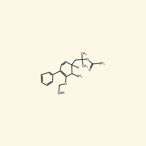 COCOC1=C(c2ccccc2)C=CC(F)(CC(C)(C)OC(N)=O)C1N